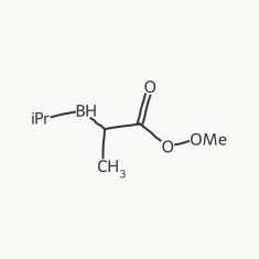 COOC(=O)C(C)BC(C)C